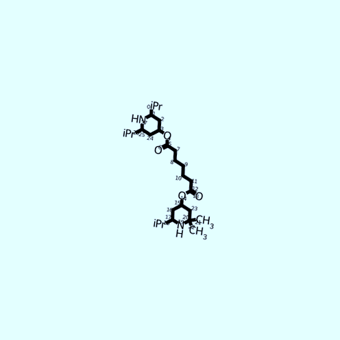 CC(C)C1CC(OC(=O)CCCCCC(=O)OC2CC(C(C)C)NC(C)(C)C2)CC(C(C)C)N1